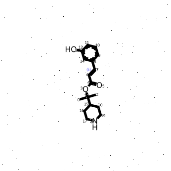 CC(C)(OC(=O)/C=C/c1cccc(O)c1)C1CCNCC1